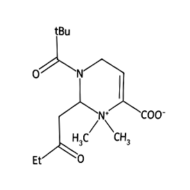 CCC(=O)CC1N(C(=O)C(C)(C)C)CC=C(C(=O)[O-])[N+]1(C)C